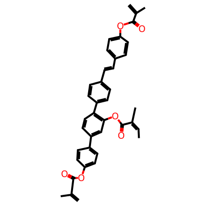 C=C(C)C(=O)Oc1ccc(/C=C/c2ccc(-c3ccc(-c4ccc(OC(=O)C(=C)C)cc4)cc3OC(=O)/C(C)=C\C)cc2)cc1